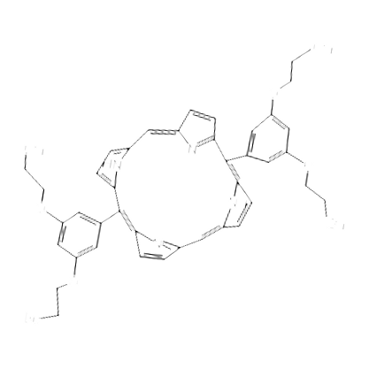 CC(C)(C)CCOc1cc(OCCC(C)(C)C)cc(-c2c3nc(cc4ccc([nH]4)c(-c4cc(OCCC(C)(C)C)cc(OCCC(C)(C)C)c4)c4nc(cc5ccc2[nH]5)C=C4)C=C3)c1